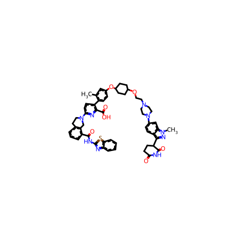 Cc1cc(OC2CCC(OCCN3CCN(c4ccc5c(C6CCC(=O)NC6=O)nn(C)c5c4)CC3)CC2)ccc1-c1ccc(N2CCc3cccc(C(=O)Nc4nc5ccccc5s4)c3C2)nc1C(=O)O